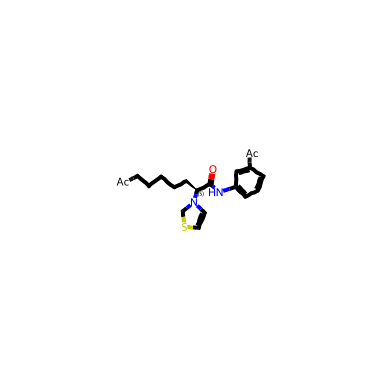 CC(=O)CCCCC[C@@H](C(=O)Nc1cccc(C(C)=O)c1)N1C=CSC1